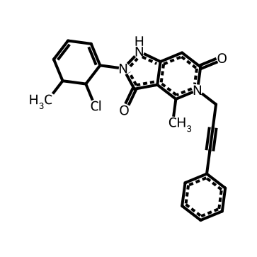 Cc1c2c(=O)n(C3=CC=CC(C)C3Cl)[nH]c2cc(=O)n1CC#Cc1ccccc1